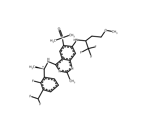 COCCC(Nc1cc2nc(C)nc(N[C@H](C)c3cccc(C(F)F)c3F)c2cc1P(C)(C)=O)C(F)(F)F